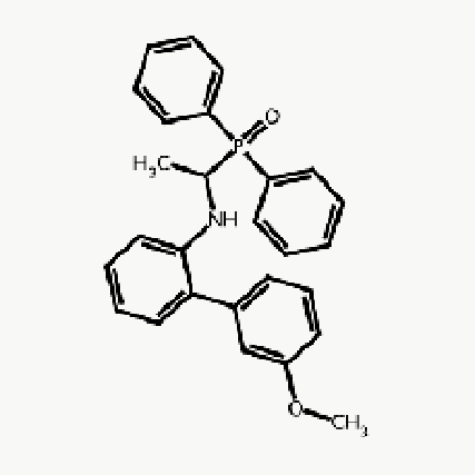 COc1cccc(-c2ccccc2NC(C)P(=O)(c2ccccc2)c2ccccc2)c1